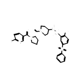 O=C([C@@H]1CCCN1C(=O)c1ccc(Cl)nc1)N1CCC(NS(=O)(=O)c2cc(S(=O)(=O)c3ccccc3)ccc2C(F)(F)F)CC1